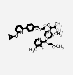 COCC[C@H](c1nccc(C)c1F)N1C[C@@H](C)N(C(=O)C(C)C)[C@@H](C(=O)NCc2ccc(-c3cccc(OC4CC4)n3)cc2)C1